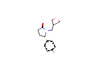 O=C1CC[C@H](c2ccc(Br)cc2)N1CC1COC1